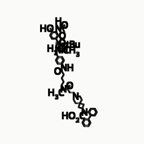 CN(CCCCC(=O)Nc1ccc(CNC[C@H](O[Si](C)(C)C(C)(C)C)c2ccc(O)c3c2OCC(=O)N3)cc1)C(=O)CCN1CCC2(CC1)CC(N(C(=O)O)c1ccccc1-c1ccccc1)C2